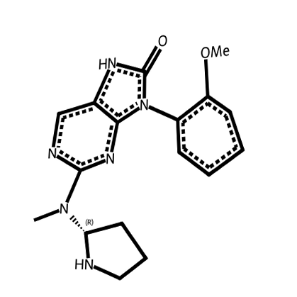 COc1ccccc1-n1c(=O)[nH]c2cnc(N(C)[C@@H]3CCCN3)nc21